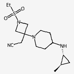 CCS(=O)(=O)N1CC(CC#N)(N2CCC(N[C@@H]3C[C@H]3C)CC2)C1